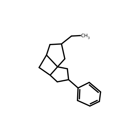 CCC1CC2CC3CC(c4ccccc4)CC23C1